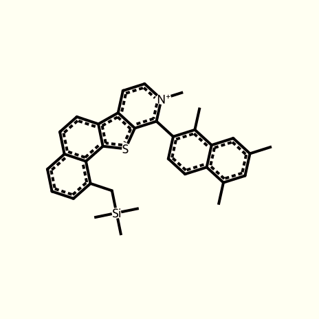 Cc1cc(C)c2ccc(-c3c4sc5c(ccc6cccc(C[Si](C)(C)C)c65)c4cc[n+]3C)c(C)c2c1